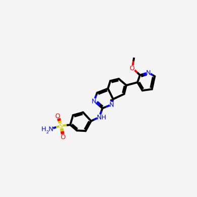 COc1ncccc1-c1ccc2cnc(Nc3ccc(S(N)(=O)=O)cc3)nc2c1